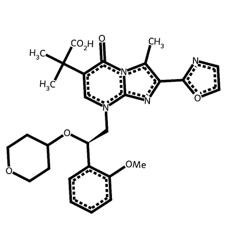 COc1ccccc1[C@H](Cn1cc(C(C)(C)C(=O)O)c(=O)n2c(C)c(-c3ncco3)nc12)OC1CCOCC1